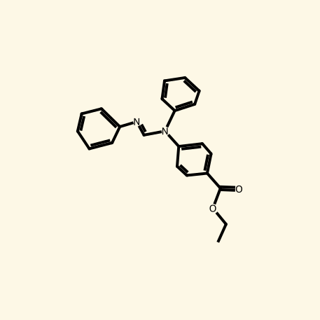 CCOC(=O)c1ccc(N(C=Nc2ccccc2)c2ccccc2)cc1